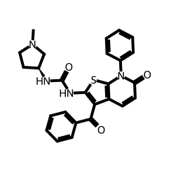 CN1CC[C@H](NC(=O)Nc2sc3c(ccc(=O)n3-c3ccccc3)c2C(=O)c2ccccc2)C1